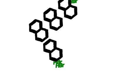 Br.Br.Br.Br.c1ccc2ccccc2c1.c1ccc2ccccc2c1.c1ccc2ccccc2c1.c1ccc2ccccc2c1